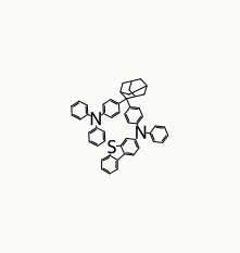 c1ccc(N(c2ccccc2)c2ccc(C3(c4ccc(N(c5ccccc5)c5ccc6c(c5)sc5ccccc56)cc4)C4CC5CC(C4)CC3C5)cc2)cc1